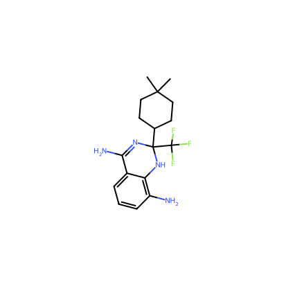 CC1(C)CCC(C2(C(F)(F)F)N=C(N)c3cccc(N)c3N2)CC1